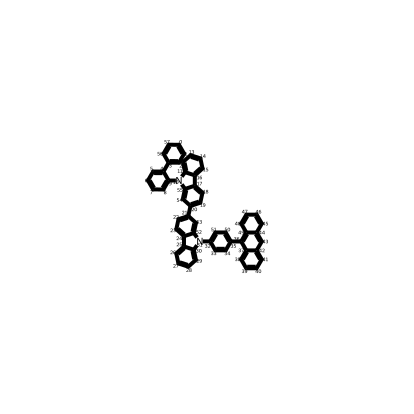 c1ccc(-c2ccccc2-n2c3ccccc3c3ccc(-c4ccc5c6ccccc6n(-c6ccc(-c7c8ccccc8cc8ccccc78)cc6)c5c4)cc32)cc1